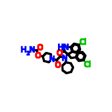 NC(=O)OC1CCN(C(=O)CN(C2CCCCCC2)C2(Cc3cccc(Cl)c3)C(=O)Nc3cc(Cl)ccc32)CC1